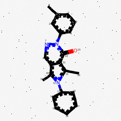 Cc1cccc(-n2ncc3c(C)n(-c4ccccc4)c(C)c3c2=O)c1